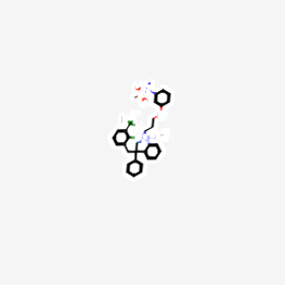 CN(c1cccc(OCCCNCC(Cc2cccc(C(F)(F)F)c2Cl)(c2ccccc2)c2ccccc2)c1)S(C)(=O)=O.Cl